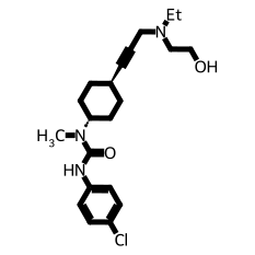 CCN(CC#C[C@H]1CC[C@H](N(C)C(=O)Nc2ccc(Cl)cc2)CC1)CCO